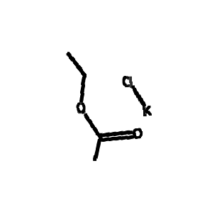 CCOC(C)=O.[Cl][K]